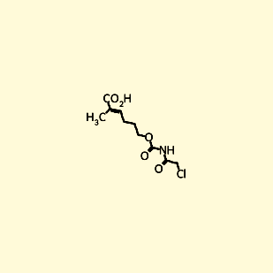 CC(=CCCCOC(=O)NC(=O)CCl)C(=O)O